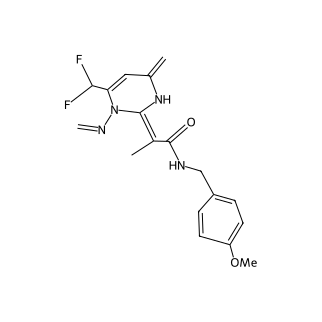 C=NN1C(C(F)F)=CC(=C)N/C1=C(/C)C(=O)NCc1ccc(OC)cc1